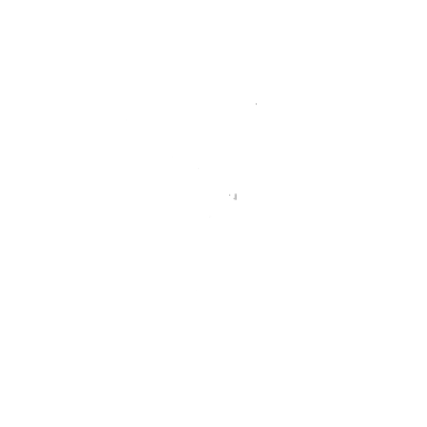 CC(C)(C)OC(=O)C(CCN1CCOCC1)NC(=O)OCC1c2ccccc2-c2ccccc21